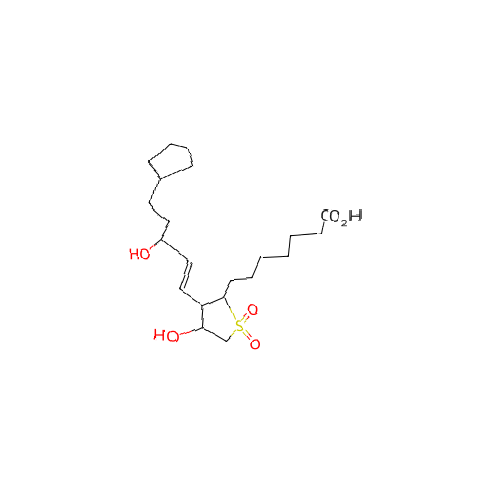 O=C(O)CCCCCCC1C(/C=C/C(O)CCC2CCCC2)C(O)CS1(=O)=O